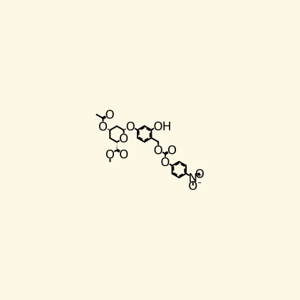 COC(=O)[C@@H]1C[C@H](OC(C)=O)C[C@H](Oc2ccc(COC(=O)Oc3ccc([N+](=O)[O-])cc3)c(O)c2)O1